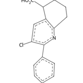 O=C(O)C1CCCc2nc(-c3ccccc3)c(Cl)cc21